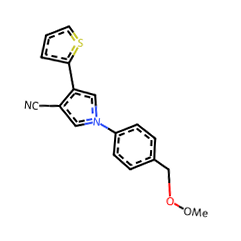 COOCc1ccc(-n2cc(C#N)c(-c3cccs3)c2)cc1